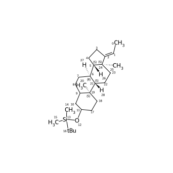 CC=C1CC[C@H]2[C@@H]3CCC4CC(O[Si](C)(C)C(C)(C)C)CC[C@]4(C)[C@H]3CC[C@]12C